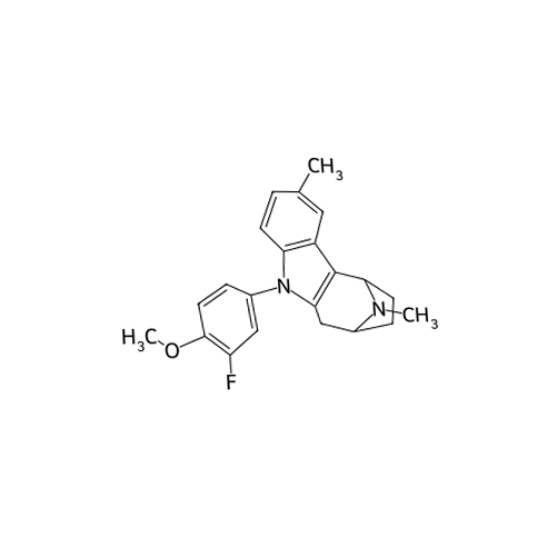 COc1ccc(-n2c3c(c4cc(C)ccc42)C2CCC(C3)N2C)cc1F